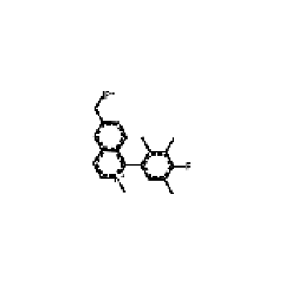 Cc1cc(-c2c3ccc(CC(C)C)cc3cc[n+]2C)c(C)c(C)c1F